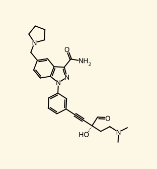 CN(C)CC[C@@](O)(C#Cc1cccc(-n2nc(C(N)=O)c3cc(CN4CCCC4)ccc32)c1)C=O